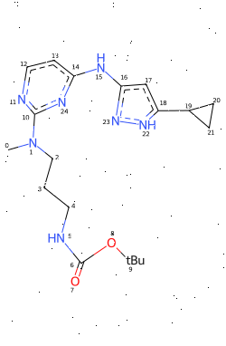 CN(CCCNC(=O)OC(C)(C)C)c1nccc(Nc2cc(C3CC3)[nH]n2)n1